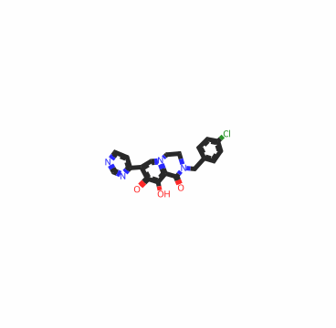 O=C1c2c(O)c(=O)c(-c3ccncn3)cn2CCN1Cc1ccc(Cl)cc1